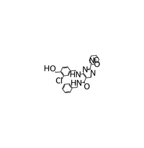 O=C(NCc1ccccc1)c1cnc(N2CC3CCC2CO3)nc1NCc1ccc(CO)c(Cl)c1